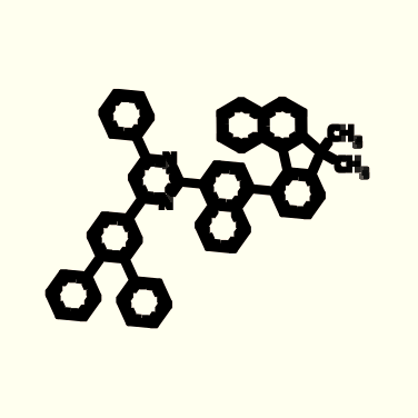 CC1(C)c2cccc(-c3ccc(-c4nc(-c5ccccc5)cc(-c5ccc(-c6ccccc6)c(-c6ccccc6)c5)n4)c4ccccc34)c2-c2c1ccc1ccccc21